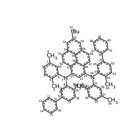 Cc1ccc(C)c(N(c2cc(-c3ccccc3)ccc2C)c2cc(N(c3cc(C)ccc3C)c3cc(-c4ccccc4)ccc3C)c3ccc4cc(C(C)(C)C)cc5ccc2c3c54)c1